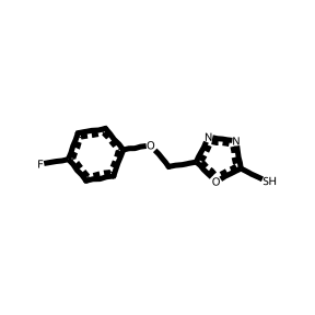 Fc1ccc(OCc2nnc(S)o2)cc1